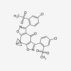 CS(=O)(=O)c1cc(Cl)ccc1-c1noc(C2CC2)c1C(=O)c1c(-c2ccc(Cl)cc2S(C)(=O)=O)noc1C1CC1